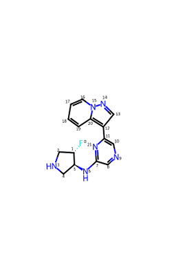 F[C@H]1CNC[C@@H]1Nc1cncc(-c2cnn3ccccc23)n1